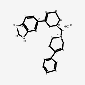 C1=C(c2ccccc2)CCN(C[C@@H]2CCC=C(c3ccc4c(c3)OCO4)C2)C1.Cl